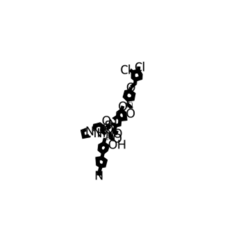 Cc1nc(N2CCCC2)ccc1S(=O)(=O)N1Cc2cc3c(cc2CC1C(=O)N[C@@H](Cc1ccc(-c2ccc(C#N)cc2)cc1)C(=O)O)OC[C@H](c1ccc(OCc2ccc(Cl)c(Cl)c2)cc1)O3